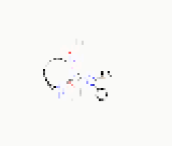 COc1ccc(-c2nn([C@H]3C[C@H]4C(=O)N[C@]5(C(=O)O)C[C@H]5/C=C\CCCCC[C@H](NC(=O)OC(C)(C)C)C(=O)N4C3)nc2-c2cccs2)cc1